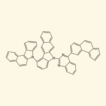 c1ccc2cc3c(cc2c1)c1c(-n2c4ccccc4c4c5ccccc5ccc42)cccc1n3-c1nc(-c2ccc3ccc4ccccc4c3c2)c2ccccc2n1